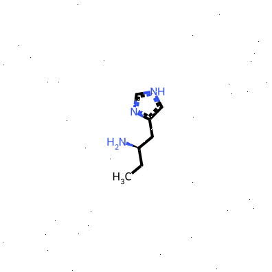 CC[C@@H](N)Cc1c[nH]cn1